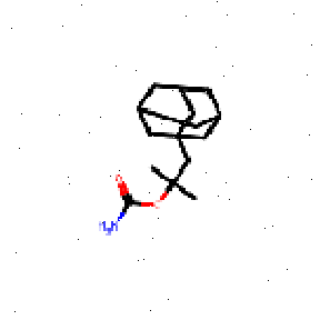 CC(C)(CC12CC3CC(CC(C3)C1)C2)OC(N)=O